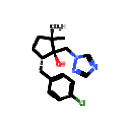 C[C@@]1(C(=O)O)CC[C@@H](Cc2ccc(Cl)cc2)[C@@]1(O)Cn1cncn1